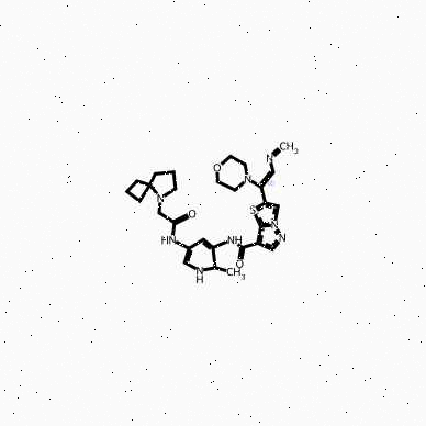 C=N/C=C(/c1cn2ncc(C(=O)NC3=CC(NC(=O)CN4CCCC45CCC5)=CNC3C)c2s1)N1CCOCC1